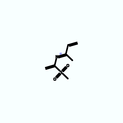 C=C/C(C)=N/C(=C)S(C)(=O)=O